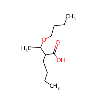 CCCCOC(C)C(CCCC)C(=O)O